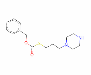 O=C(OCc1ccccc1)SCCCN1CCNCC1